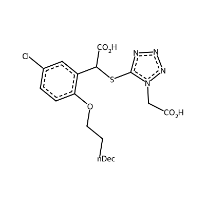 CCCCCCCCCCCCOc1ccc(Cl)cc1C(Sc1nnnn1CC(=O)O)C(=O)O